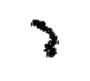 C=CCn1c(=O)c2cnc(Nc3cnc4c(c3)CCN(C[C@H]3CC[C@H](N5Cc6ccc7c(C8CCC(=O)NC8=O)noc7c6C5)CC3)C4)nc2n1-c1ccc2c(n1)[C@@](O)(CC)CC2